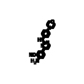 N#Cc1cc(-c2ccnc(Nc3ccc(N4CCOCC4)cc3)n2)ccc1N